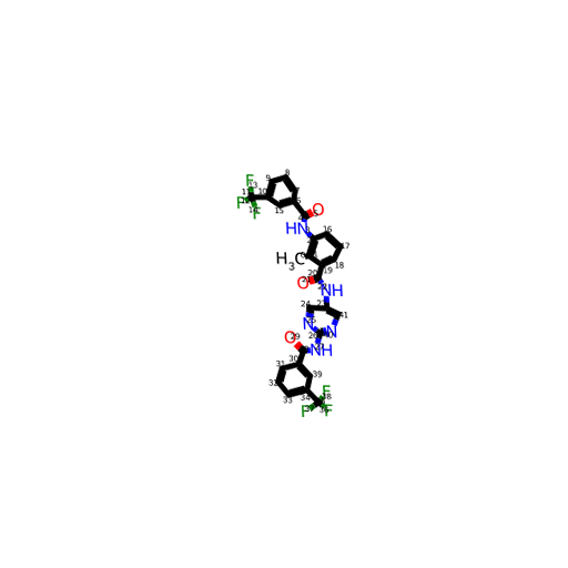 Cc1c(NC(=O)c2cccc(C(F)(F)F)c2)cccc1C(=O)Nc1cnc(NC(=O)c2cccc(C(F)(F)F)c2)nc1